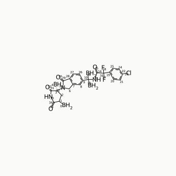 BC1C[C@](B)(N2Cc3cc(C(B)(B)NC(=O)C(F)(F)c4ccc(Cl)cc4)ccc3C2=O)C(=O)NC1=O